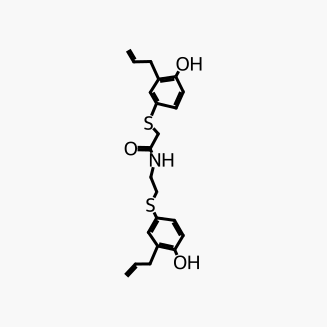 C=CCc1cc(SCCNC(=O)CSc2ccc(O)c(CC=C)c2)ccc1O